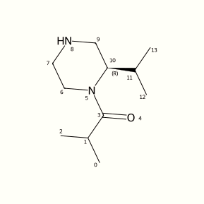 CC(C)C(=O)N1CCNC[C@H]1C(C)C